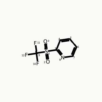 O=S(=O)(c1[c]cccn1)C(F)(F)F